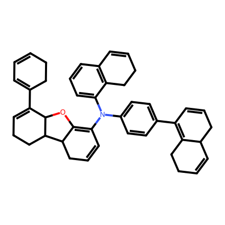 C1=CCCC(C2=CCCC3C4CC=CC(N(c5ccc(C6=C7CCC=CC7CC=C6)cc5)c5cccc6c5CCC=C6)=C4OC23)=C1